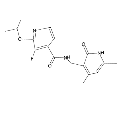 Cc1cc(C)c(CNC(=O)c2ccnc(OC(C)C)c2F)c(=O)[nH]1